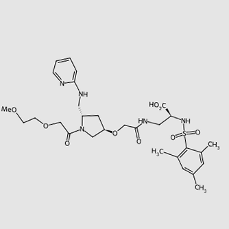 COCCOCC(=O)N1C[C@H](OCC(=O)NC[C@H](NS(=O)(=O)c2c(C)cc(C)cc2C)C(=O)O)C[C@H]1CNc1ccccn1